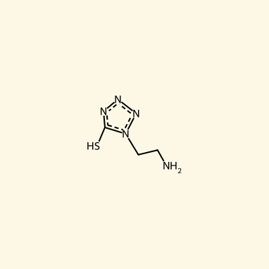 NCCn1nnnc1S